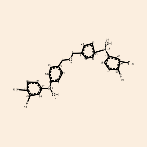 OB(c1ccc(COCc2ccc(B(O)c3ccc(F)c(F)c3)cc2)cc1)c1ccc(F)c(F)c1